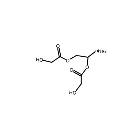 CCCCCCC(COC(=O)CO)OC(=O)CO